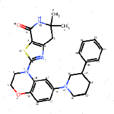 CC1(C)Cc2nc(N3CCOc4ccc(N5CCCC(c6ccccc6)C5)cc43)sc2C(=O)N1